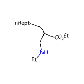 CCCCCCCCC(CNCC)C(=O)OCC